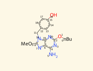 CCCCOc1nc(N)c2nc(OC)n(Cc3ccc(O)cc3)c2n1